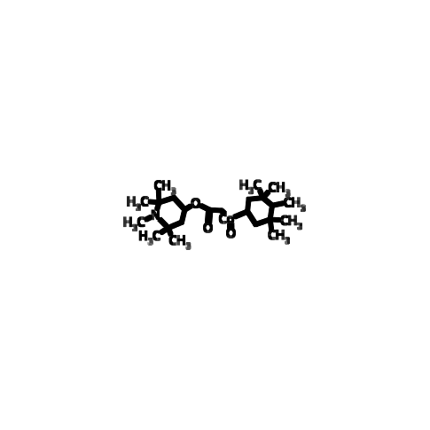 CC1C(C)(C)C[CH]([Co](=[O])[CH2]C(=O)OC2CC(C)(C)N(C)C(C)(C)C2)CC1(C)C